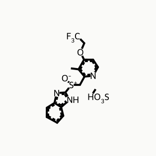 CS(=O)(=O)O.Cc1c(OCC(F)(F)F)ccnc1C[S+]([O-])c1nc2ccccc2[nH]1